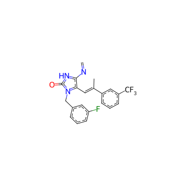 C=Nc1[nH]c(=O)n(Cc2cccc(F)c2)c1/C=C(\C)c1cccc(C(F)(F)F)c1